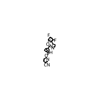 N#Cc1ccc(OC[C@@H]2CC(C(=O)N3N=CCC3c3ncc(F)cc3F)C3CC2C3)nc1